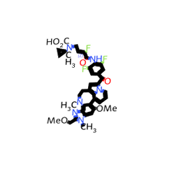 COCc1nc2c3c(c(OC)cc2n1C)-c1cccn2c(C(=O)c4cc(F)c(NC(=O)/C(F)=C/CN(C(=O)O)C5(C)CC5)c(F)c4)cc(c12)CCN3C